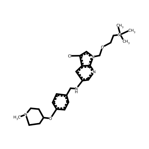 CN1CCC(Oc2ccc(CNc3cnc4c(c3)c(Cl)cn4COCC[Si](C)(C)C)cc2)CC1